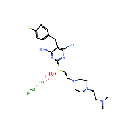 CN(C)CCN1CCN(CCSc2nc(N)c(Cc3ccc(F)cc3)c(N)n2)CC1.Cl.Cl.Cl.Cl.O.O.O